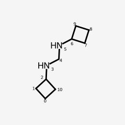 C1CC(NCNC2CCC2)C1